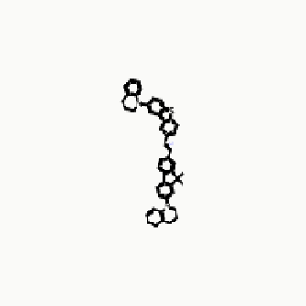 CC1(C)c2cc(/C=C/c3ccc4sc5ccc(N6CCCc7ccccc76)cc5c4c3)ccc2-c2ccc(N3CCCC4=C3C=CCC4)cc21